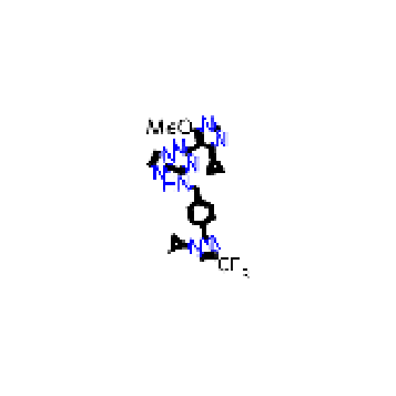 COc1ncnc(C2CC2)c1-c1nc(NCc2ccc(-c3nc(C(F)(F)F)cn3C3CC3)cc2)c2nccn2n1